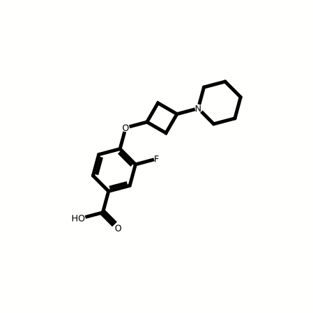 O=C(O)c1ccc(OC2CC(N3CCCCC3)C2)c(F)c1